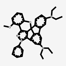 CCN(CC)c1ccc2c(c1)-c1cc(N(CC)CC)ccc1C21Oc2cccc(OC)c2-c2nn(-c3ccccc3)c(C)c21